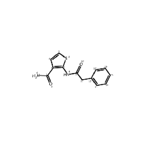 NC(=O)c1ccsc1NC(=O)Cc1ccccc1